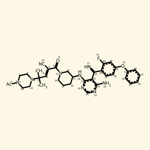 CC(=O)N1CCN(C(C)(C)/C=C(\C#N)C(=O)N2CCCC(Nc3ncnc(N)c3C(=N)c3ccc(Oc4ccccc4)cc3F)C2)CC1